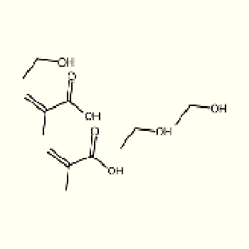 C=C(C)C(=O)O.C=C(C)C(=O)O.CCO.CCO.CCO